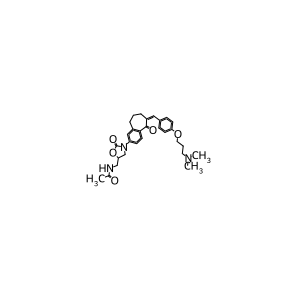 CC(=O)NCC1CN(c2ccc3c(c2)CCCC(=Cc2ccc(OCCCN(C)C)cc2)C3=O)C(=O)O1